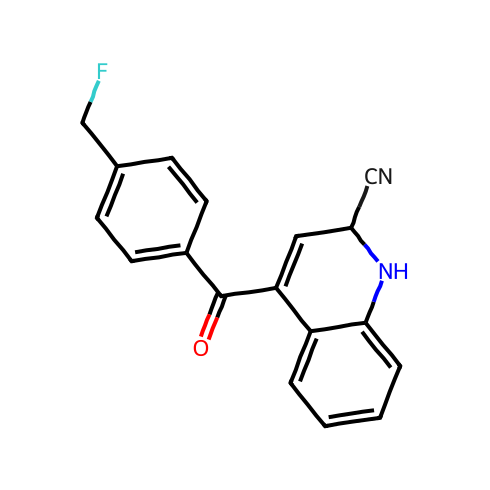 N#CC1C=C(C(=O)c2ccc(CF)cc2)c2ccccc2N1